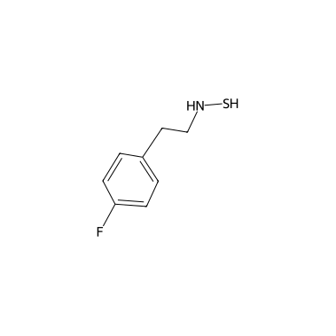 Fc1ccc(CCNS)cc1